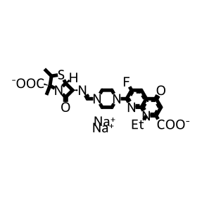 CCn1c(C(=O)[O-])cc(=O)c2cc(F)c(N3CCN(C=N[C@@H]4C(=O)N5[C@@H]4SC(C)[C@@]5(C)C(=O)[O-])CC3)nc21.[Na+].[Na+]